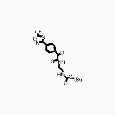 CC(C)(C)OC(=O)NCCNC(=O)C(=O)c1ccc(-c2noc(C(F)(F)F)n2)cc1